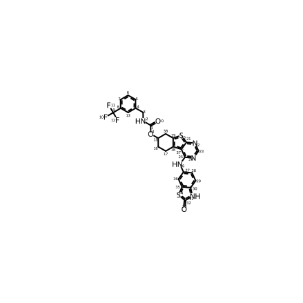 O=C(NCc1cccc(C(F)(F)F)c1)OC1CCc2c(sc3ncnc(Nc4ccc5[nH]c(=O)sc5c4)c23)C1